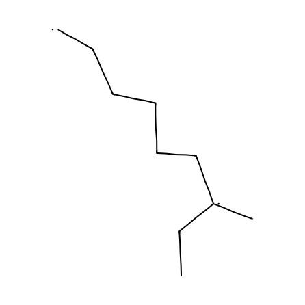 [CH2]CCCCC[C](C)CC